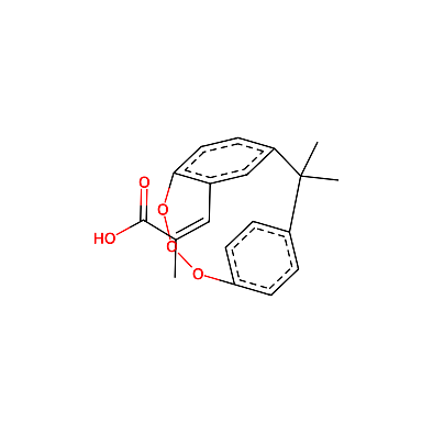 CC(=Cc1cc2ccc1OOOc1ccc(cc1)C2(C)C)C(=O)O